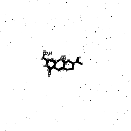 C=C(C)[C@H]1CCC2=Cc3c(cc(CC(=O)O)oc3=O)O[C@H]2C1